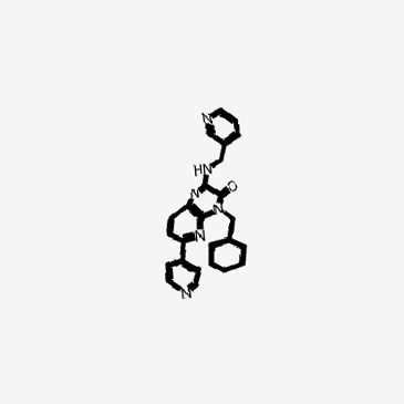 O=c1c(NCc2cccnc2)nc2ccc(-c3ccncc3)nc2n1CC1CCCCC1